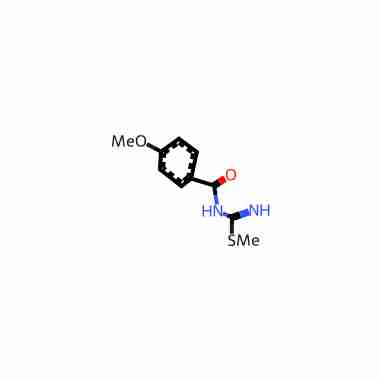 COc1ccc(C(=O)NC(=N)SC)cc1